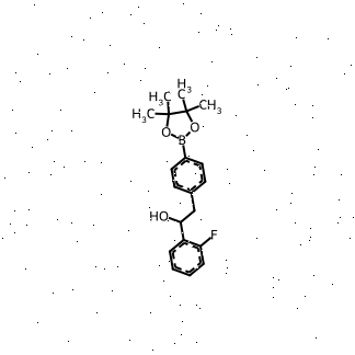 CC1(C)OB(c2ccc(CC(O)c3ccccc3F)cc2)OC1(C)C